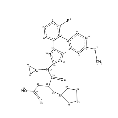 COc1ccc(-c2c(F)cccc2-c2csc(N(C(=O)C(CC(=O)O)CC3CCCC3)C3CC3)n2)cn1